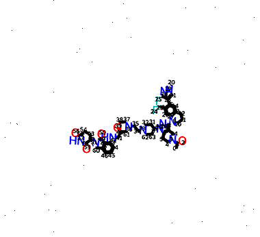 CC(=O)N1CCc2c(c(N3CCCc4cc(-c5cnn(C)c5)c(C(F)F)cc43)nn2C2CCN(CCN3CCOC(CNc4cccc5c4C(=O)N(C4CCC(=O)NC4=O)C5)C3)CC2)C1